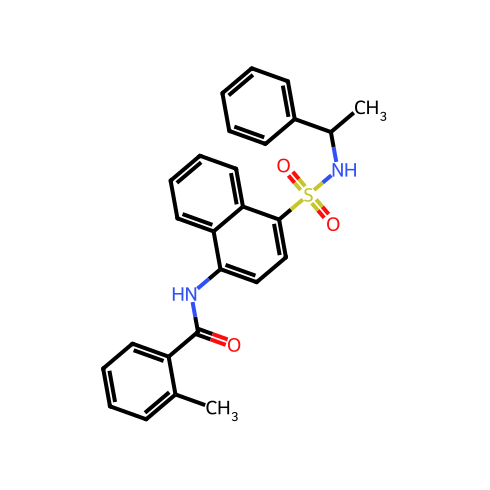 Cc1ccccc1C(=O)Nc1ccc(S(=O)(=O)NC(C)c2ccccc2)c2ccccc12